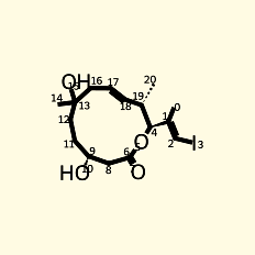 C/C(=C\I)[C@H]1OC(=O)C[C@H](O)CCC(C)(O)C/C=C/[C@@H]1C